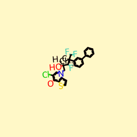 CC(O)(Cn1cc(Cl)c(=O)c2sccc21)C(F)C(C)(c1cccc(-c2ccccc2)c1)C(F)F